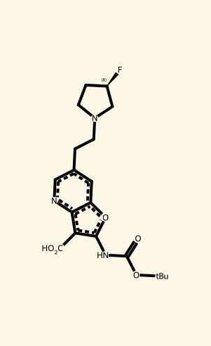 CC(C)(C)OC(=O)Nc1oc2cc(CCN3CC[C@@H](F)C3)cnc2c1C(=O)O